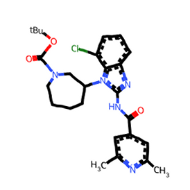 Cc1cc(C(=O)Nc2nc3cccc(Cl)c3n2C2CCCCN(C(=O)OC(C)(C)C)C2)cc(C)n1